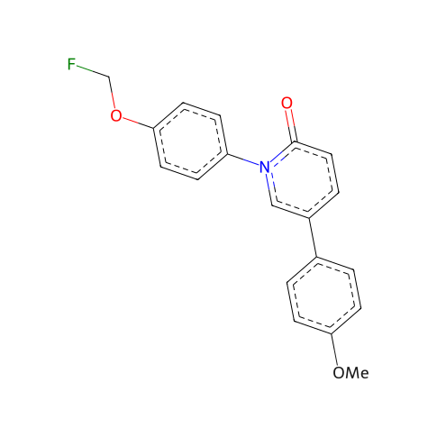 COc1ccc(-c2ccc(=O)n(-c3ccc(OCF)cc3)c2)cc1